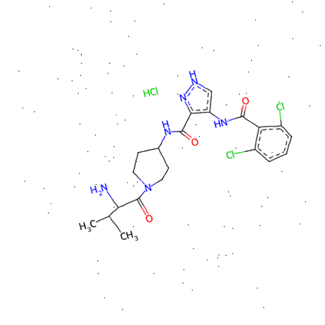 CC(C)C(N)C(=O)N1CCC(NC(=O)c2n[nH]cc2NC(=O)c2c(Cl)cccc2Cl)CC1.Cl